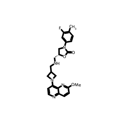 COc1ccc2nccc(N3CC(CNC[C@@H]4CN(c5ccc(C)c(F)c5)C(=O)O4)C3)c2n1